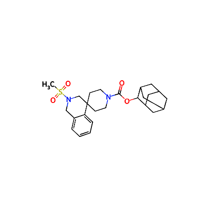 CS(=O)(=O)N1Cc2ccccc2C2(CCN(C(=O)OC3C4CC5CC(C4)CC3C5)CC2)C1